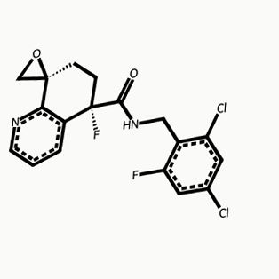 O=C(NCc1c(F)cc(Cl)cc1Cl)[C@]1(F)CC[C@@]2(CO2)c2ncccc21